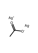 CC(=O)[O-].[Ag+].[Ag]